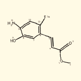 COC(=O)C=Cc1cc(O)c(N)cc1F